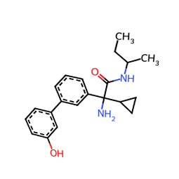 CCC(C)NC(=O)C(N)(c1cccc(-c2cccc(O)c2)c1)C1CC1